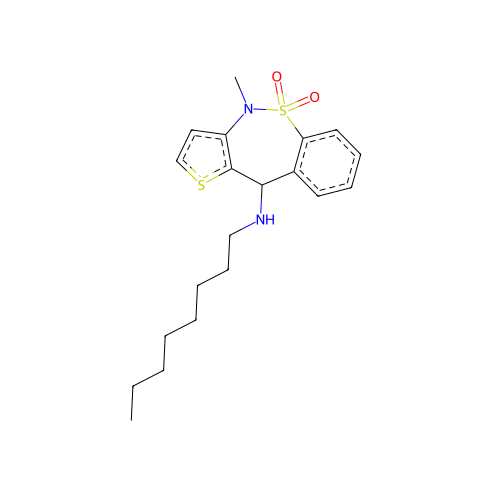 CCCCCCCCNC1c2ccccc2S(=O)(=O)N(C)c2ccsc21